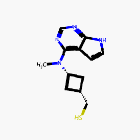 CN(c1ncnc2[nH]ccc12)[C@H]1C[C@@H](CS)C1